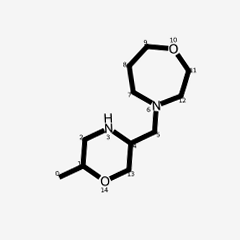 CC1CNC(CN2CCCOCC2)CO1